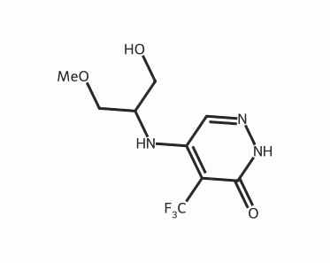 COCC(CO)Nc1cn[nH]c(=O)c1C(F)(F)F